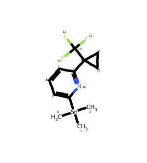 [CH3][Sn]([CH3])([CH3])[c]1cccc(C2(C(F)(F)F)CC2)n1